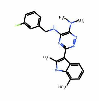 Cc1[nH]c2c(C(=O)O)cccc2c1-c1nnc(N(C)C)c(NCc2cccc(F)c2)n1